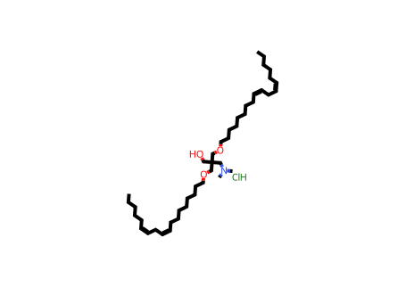 CCCCC/C=C\C/C=C\CCCCCCCCOCC(CO)(COCCCCCCCC/C=C\C/C=C\CCCCC)CN(C)C.Cl